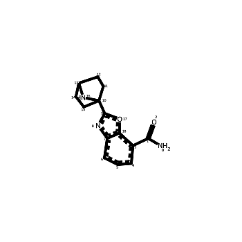 NC(=O)c1cccc2nc(C34CCC(CC3)N4)oc12